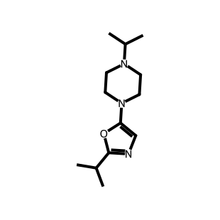 CC(C)c1ncc(N2CCN(C(C)C)CC2)o1